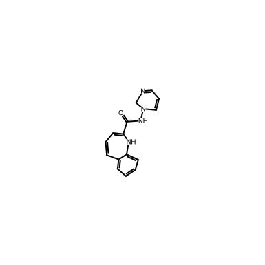 O=C(NN1C=CC=NC1)C1=CC=Cc2ccccc2N1